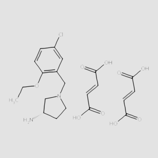 CCOc1ccc(Cl)cc1CN1CC[C@H](N)C1.O=C(O)/C=C/C(=O)O.O=C(O)/C=C/C(=O)O